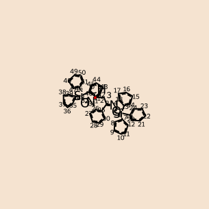 CC(CC(=NO[Si](c1ccccc1)(c1ccccc1)c1ccccc1)c1ccccc1)=NO[Si](c1ccccc1)(c1ccccc1)c1ccccc1